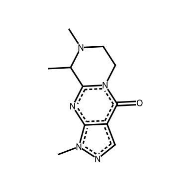 CC1c2nc3c(cnn3C)c(=O)n2CCN1C